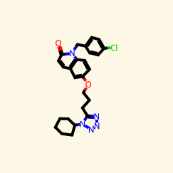 O=c1ccc2cc(OCCCc3nnnn3C3CCCCC3)ccc2n1Cc1ccc(Cl)cc1